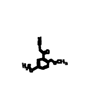 COCc1ccc(OC)cc1C(=O)CC#N